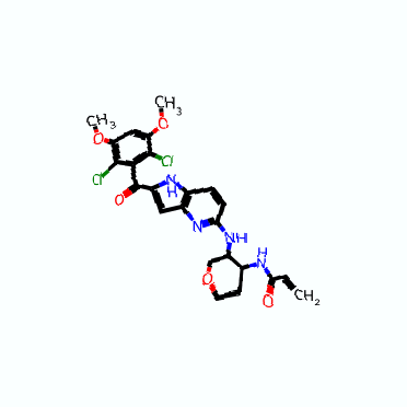 C=CC(=O)NC1CCOCC1Nc1ccc2[nH]c(C(=O)c3c(Cl)c(OC)cc(OC)c3Cl)cc2n1